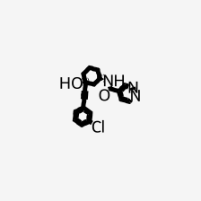 O=C(N[C@H]1CCC[C@@](O)(C#Cc2cccc(Cl)c2)C1)c1ccnnc1